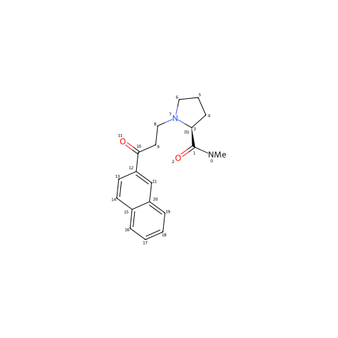 CNC(=O)[C@@H]1CCCN1CCC(=O)c1ccc2ccccc2c1